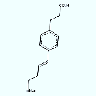 CCCCCCCCCCCC=Cc1ccc(CCC(=O)O)cc1